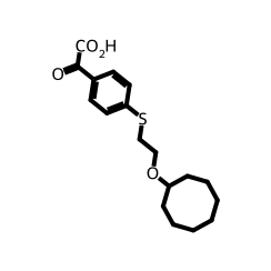 O=C(O)C(=O)c1ccc(SCCOC2CCCCCCC2)cc1